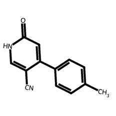 Cc1ccc(-c2cc(=O)[nH]cc2C#N)cc1